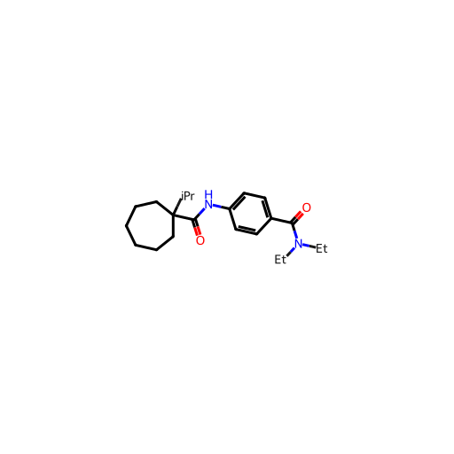 CCN(CC)C(=O)c1ccc(NC(=O)C2(C(C)C)CCCCCC2)cc1